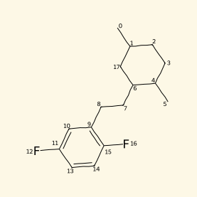 CC1CCC(C)C(CCc2cc(F)ccc2F)C1